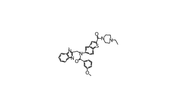 CCN1CCN(C(=O)c2cc3cc(N(Cc4nc5ccccc5n4C)C(=O)c4cccc(OC)c4)ccc3s2)CC1